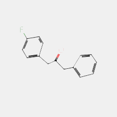 O=C(Cc1ccccc1)Cc1ccc(F)cc1